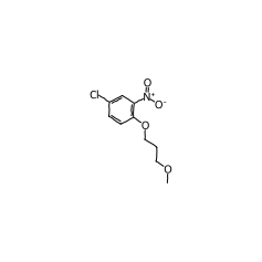 COCCCOc1ccc(Cl)cc1[N+](=O)[O-]